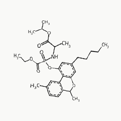 CCCCCc1cc2c(c(OP(=O)(NC(C)C(=O)OC(C)C)C(=O)OCC)c1)-c1cc(C)ccc1C(C)O2